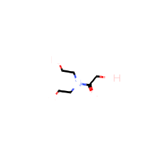 O=C(CO)N(CCO)CCO